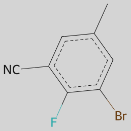 Cc1cc(Br)c(F)c(C#N)c1